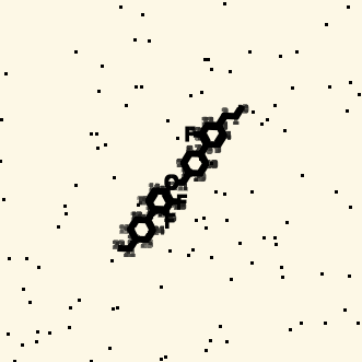 CCCc1ccc(C2CCC(COc3ccc(C4CCC(CC)CC4)c(F)c3F)CC2)c(F)c1